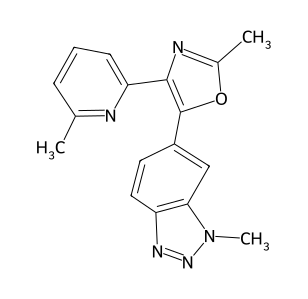 Cc1cccc(-c2nc(C)oc2-c2ccc3nnn(C)c3c2)n1